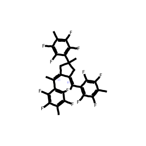 C/C(=C1\CC(C)(c2c(F)c(F)c(C)c(F)c2F)C\C1=C(\C)c1c(F)c(F)c(C)c(F)c1F)c1c(F)c(F)c(C)c(F)c1F